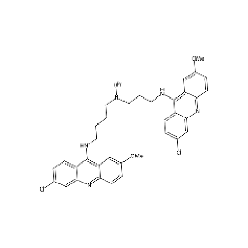 CCCN(CCCCNc1c2ccc(Cl)cc2nc2ccc(OC)cc12)CCCNc1c2ccc(Cl)cc2nc2ccc(OC)cc12